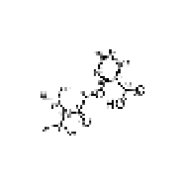 CC(C)N(C(=O)COc1ccccc1C(=O)O)C(C)C